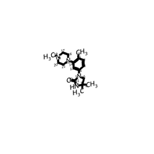 Cc1ccc(N2CC(C)(C)NC2=O)cc1N1CCN(C)CC1